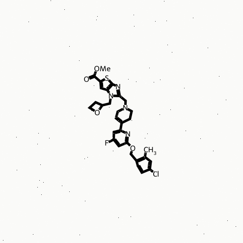 COC(=O)c1cc2c(nc(CN3CC=C(c4cc(F)cc(OCc5ccc(Cl)cc5C)n4)CC3)n2CC2CCO2)s1